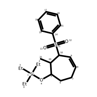 CC[Si](CC)(CC)OC1CCC=CC(S(=O)(=O)c2ccccc2)C1C